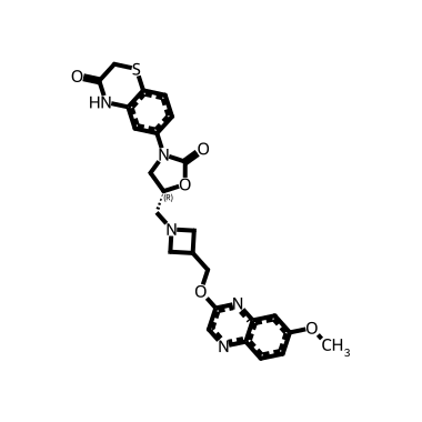 COc1ccc2ncc(OCC3CN(C[C@@H]4CN(c5ccc6c(c5)NC(=O)CS6)C(=O)O4)C3)nc2c1